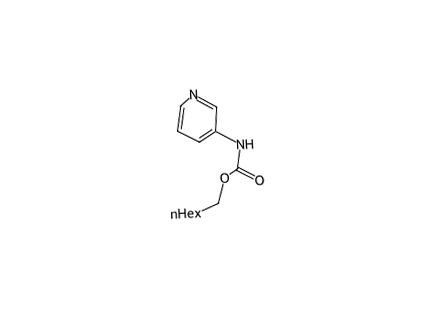 CCCCCCCOC(=O)Nc1cccnc1